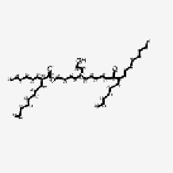 CCCCCCCCC(CCCCCC)C(=O)CCCCCN(CCO)CCCCOC(=O)C(CCCCCC)CCCCCCCC